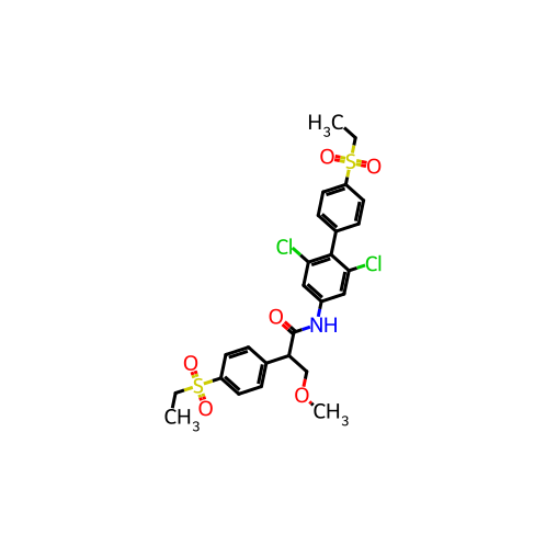 CCS(=O)(=O)c1ccc(-c2c(Cl)cc(NC(=O)C(COC)c3ccc(S(=O)(=O)CC)cc3)cc2Cl)cc1